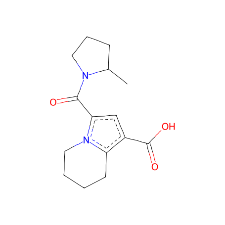 CC1CCCN1C(=O)c1cc(C(=O)O)c2n1CCCC2